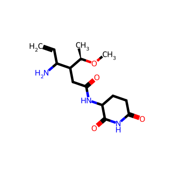 C=CC(N)C(CC(=O)NC1CCC(=O)NC1=O)[C@@H](C)OC